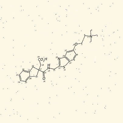 C[N+](C)(C)CCOc1ccc2sc(CNC(=O)C3(CC(=O)O)Cc4ccccc4C3)nc2c1